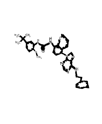 COc1ccc(C(C)(C)C)cc1NC(=O)Nc1ccc(-n2cnc3c(NCCc4ccccc4)ncnc32)c2ccccc12